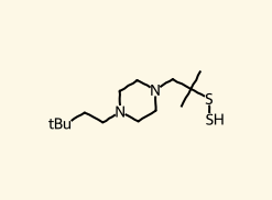 CC(C)(C)CCN1CCN(CC(C)(C)SS)CC1